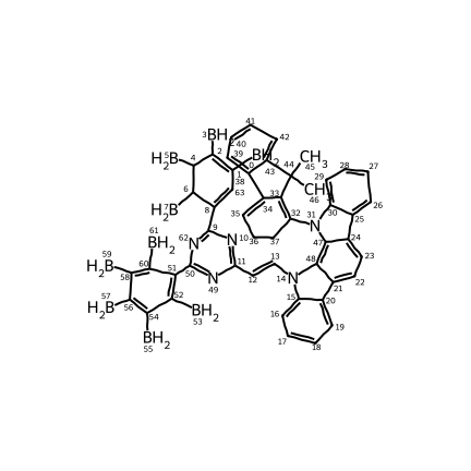 BC1=C(B)C(B)C(B)C(c2nc(C=Cn3c4ccccc4c4ccc5c6ccccc6n(C6=C7C(=CCC6)c6ccccc6C7(C)C)c5c43)nc(-c3c(B)c(B)c(B)c(B)c3B)n2)=C1